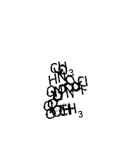 CCC(=O)N[C@H]1CCc2c(Cl)c(F)cc3nc4c(c1c23)Cn1c-4cc2c(c1=O)COC(=O)[C@]2(O)CC